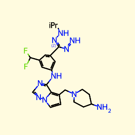 CC(C)N/N=C(\N=N)c1cc(Nc2ncnn3ccc(CN4CCC(N)CC4)c23)cc(C(F)F)c1